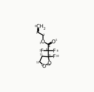 C=CCOC(=O)C(F)(F)C1(F)CCOO1